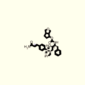 CC(C)CN(C[C@@H](O)[C@H](Cc1ccccc1)NC(=O)OC1CCC2COCC21)S(=O)(=O)c1ccc(/C=C/C(N)=O)cc1